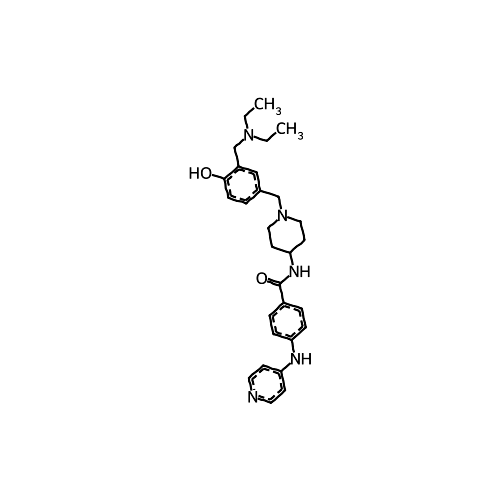 CCN(CC)Cc1cc(CN2CCC(NC(=O)c3ccc(Nc4ccncc4)cc3)CC2)ccc1O